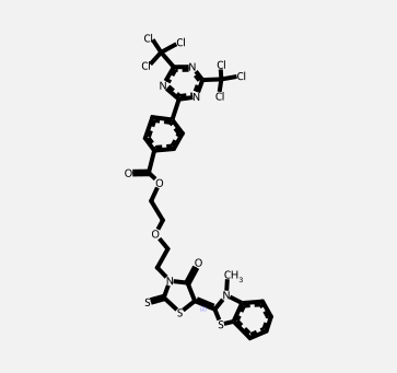 CN1/C(=C2/SC(=S)N(CCOCCOC(=O)c3ccc(-c4nc(C(Cl)(Cl)Cl)nc(C(Cl)(Cl)Cl)n4)cc3)C2=O)Sc2ccccc21